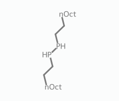 CCCCCCCCCCPPCCCCCCCCCC